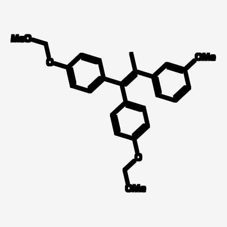 COCOc1ccc(C(=C(C)c2cccc(OC)c2)c2ccc(OCOC)cc2)cc1